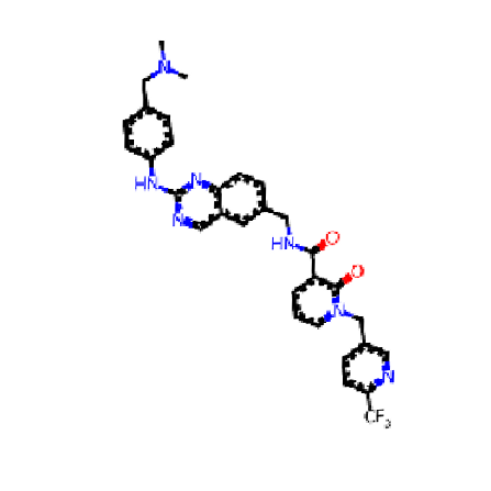 CN(C)Cc1ccc(Nc2ncc3cc(CNC(=O)c4cccn(Cc5ccc(C(F)(F)F)nc5)c4=O)ccc3n2)cc1